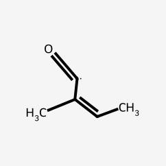 C/C=C(/C)[C]=O